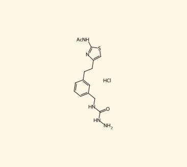 CC(=O)Nc1nc(CCc2cccc(CNC(=O)NN)c2)cs1.Cl